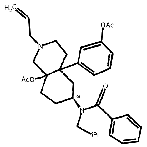 C=CCN1CCC2(c3cccc(OC(C)=O)c3)C[C@@H](N(CC(C)C)C(=O)c3ccccc3)CCC2(OC(C)=O)C1